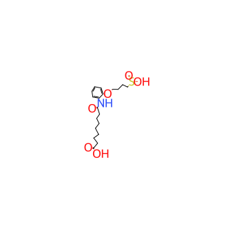 O=C(O)CCCCCCCC(=O)Nc1ccccc1OCCCCS(=O)O